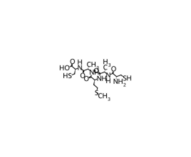 CSCC[C@H](NC(=O)[C@H](C)NC(=O)[C@@H](N)CS)C(=O)N[C@@H](C)C(=O)N[C@@H](CS)C(=O)O